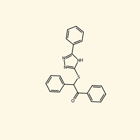 O=C(c1ccccc1)C(Sc1nnc(-c2ccccc2)[nH]1)c1ccccc1